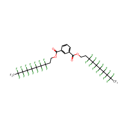 O=C(OCCC(F)(F)C(F)(F)C(F)(F)C(F)(F)C(F)(F)C(F)(F)C(F)(F)C(F)(F)F)c1cccc(C(=O)OCCC(F)(F)C(F)(F)C(F)(F)C(F)(F)C(F)(F)C(F)(F)C(F)(F)C(F)(F)F)c1